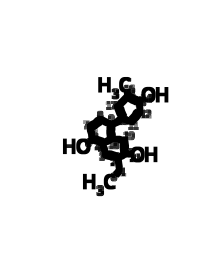 CCc1cc2c(O)ccc(-c3ccc(O)c(C)c3)c2cc1O